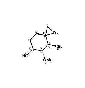 CO[C@@H]1[C@H](O)CC[C@]2(CO2)[C@H]1C(C)(C)C